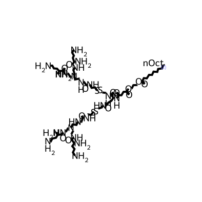 CCCCCCCC/C=C\CCCCCCCC(=O)OCCCOC(=O)CCC(=O)NC(CCC(=O)NCCSSCCNC(=O)CNCCN(CCNC(=O)C(N)CCCN)CCNC(=O)C(N)CCCN)C(=O)NCCSSCCNC(=O)CNCCN(CCNC(=O)C(N)CCCN)CCNC(=O)C(N)CCCN